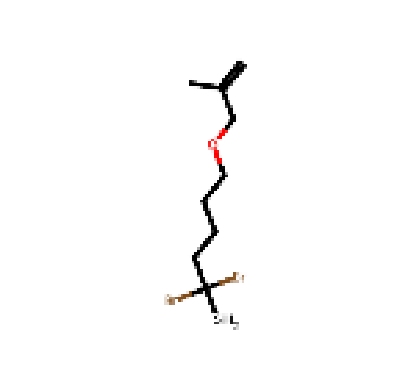 C=C(C)COCCCCC([SiH3])(Br)Br